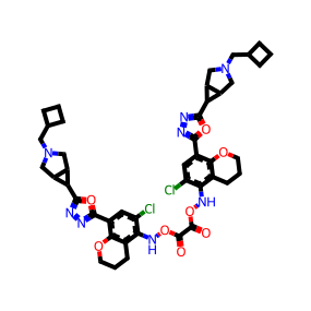 O=C(ONc1c(Cl)cc(-c2nnc(C3C4CN(CC5CCC5)CC43)o2)c2c1CCCO2)C(=O)ONc1c(Cl)cc(-c2nnc(C3C4CN(CC5CCC5)CC43)o2)c2c1CCCO2